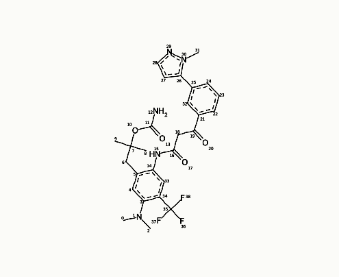 CN(C)c1cc(CC(C)(C)OC(N)=O)c(NC(=O)CC(=O)c2cccc(-c3ccnn3C)c2)cc1C(F)(F)F